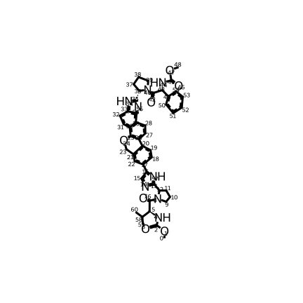 COC(=O)N[C@H](C(=O)N1CCCC1c1ncc(-c2ccc3c(c2)COc2c-3ccc3c2ccc2[nH]c([C@@H]4CCCN4C(=O)[C@H](NC(=O)OC)c4ccccc4)nc23)[nH]1)C(C)C